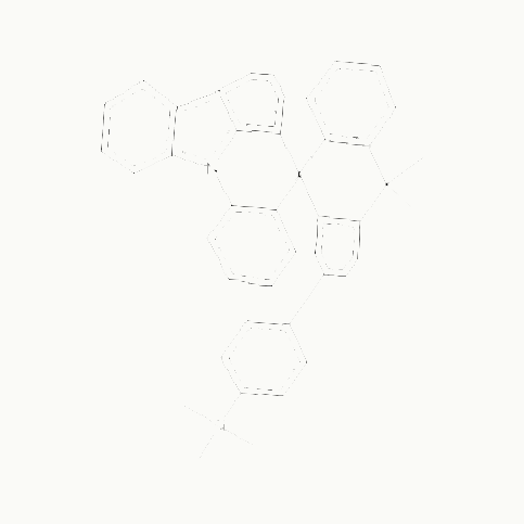 CC1(C)c2ccccc2C2(c3ccccc3-n3c4ccccc4c4cccc2c43)c2cc(-c3ccc([Si](C)(C)C)cc3)ccc21